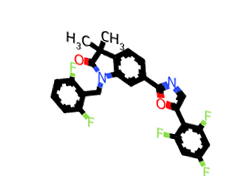 CC1(C)C(=O)N(Cc2c(F)cccc2F)c2cc(-c3ncc(-c4c(F)cc(F)cc4F)o3)ccc21